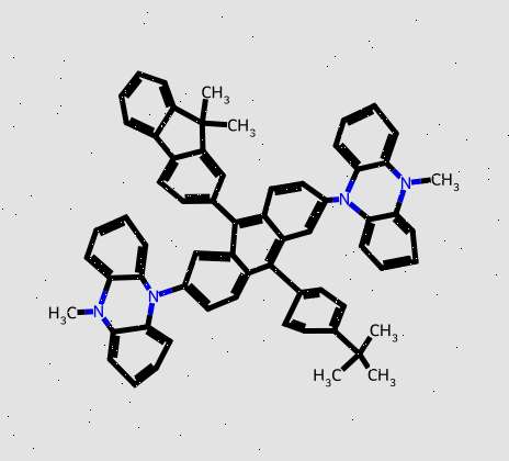 CN1c2ccccc2N(c2ccc3c(-c4ccc5c(c4)C(C)(C)c4ccccc4-5)c4cc(N5c6ccccc6N(C)c6ccccc65)ccc4c(-c4ccc(C(C)(C)C)cc4)c3c2)c2ccccc21